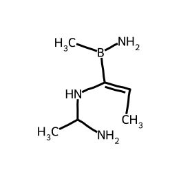 CC=C(NC(C)N)B(C)N